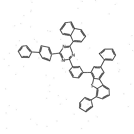 c1ccc(-c2ccc(-c3nc(-c4cccc(-c5cc(-c6ccccc6)cc6c5sc5c(-c7ccccc7)cccc56)c4)nc(-c4cccc5ccccc45)n3)cc2)cc1